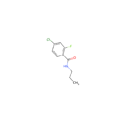 CCCNC(=O)c1ccc(Cl)cc1F